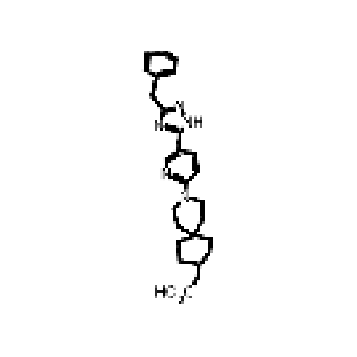 O=C(O)CC1CCC2(CC1)CCN(c1ccc(-c3nc(Cc4ccccc4)n[nH]3)cn1)CC2